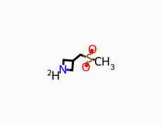 [2H]N1CC(CS(C)(=O)=O)C1